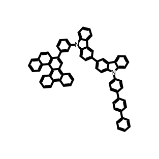 c1ccc(-c2ccc(-c3ccc(-n4c5ccccc5c5cc(-c6ccc7c(c6)c6ccccc6n7-c6cccc(-c7cc8c9ccccc9c9ccccc9c8c8c7ccc7ccccc78)c6)ccc54)cc3)cc2)cc1